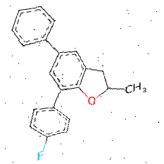 CC1Cc2cc(-c3ccccc3)cc(-c3ccc(F)cc3)c2O1